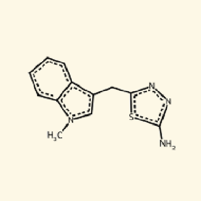 Cn1cc(Cc2nnc(N)s2)c2ccccc21